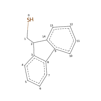 SCC1c2ccccc2-c2ccccc21